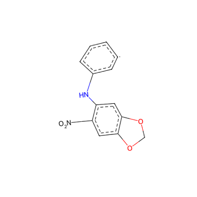 O=[N+]([O-])c1cc2c(cc1Nc1c[c]ccc1)OCO2